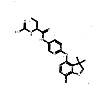 CCC(NC(=O)O)C(=O)Nc1ccc(Oc2ccc(C)c3c2C(C)(C)CO3)nc1